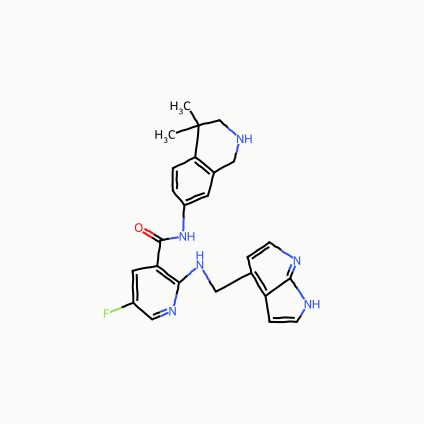 CC1(C)CNCc2cc(NC(=O)c3cc(F)cnc3NCc3ccnc4[nH]ccc34)ccc21